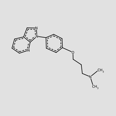 CN(C)CCCOc1ccc(-n2ncc3cccnc32)cc1